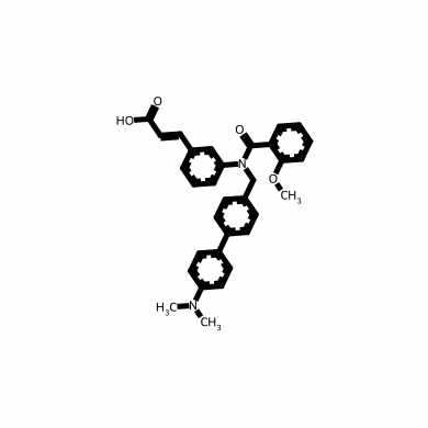 COc1ccccc1C(=O)N(Cc1ccc(-c2ccc(N(C)C)cc2)cc1)c1cccc(C=CC(=O)O)c1